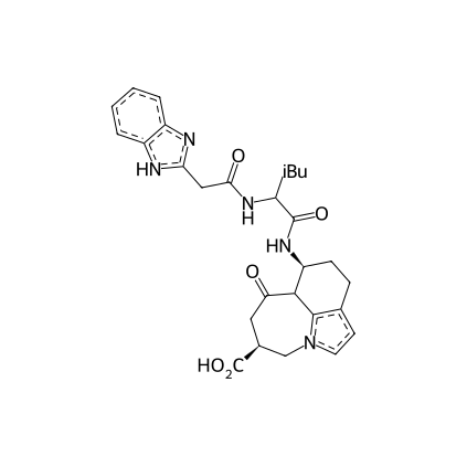 CCC(C)C(NC(=O)Cc1nc2ccccc2[nH]1)C(=O)N[C@H]1CCc2ccn3c2C1C(=O)C[C@H](C(=O)O)C3